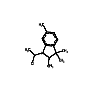 Cc1ccc2c(c1)N(C(C)Cl)C(C)C2(C)C